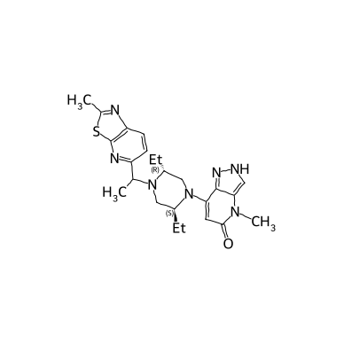 CC[C@H]1CN(C(C)c2ccc3nc(C)sc3n2)[C@H](CC)CN1c1cc(=O)n(C)c2c[nH]nc12